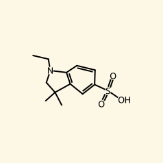 CCN1CC(C)(C)c2cc(S(=O)(=O)O)ccc21